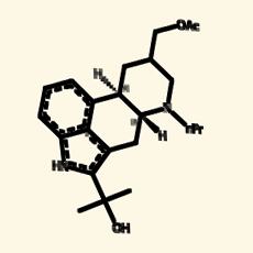 CCCN1CC(COC(C)=O)C[C@@H]2c3cccc4[nH]c(C(C)(C)O)c(c34)C[C@H]21